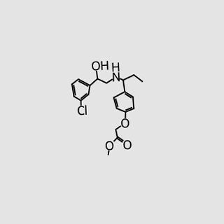 CCC(NCC(O)c1cccc(Cl)c1)c1ccc(OCC(=O)OC)cc1